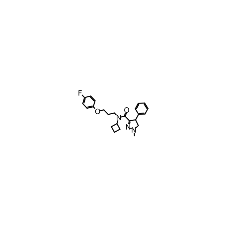 CN1CC(c2ccccc2)C(C(=O)N(CCCOc2ccc(F)cc2)C2CCC2)=N1